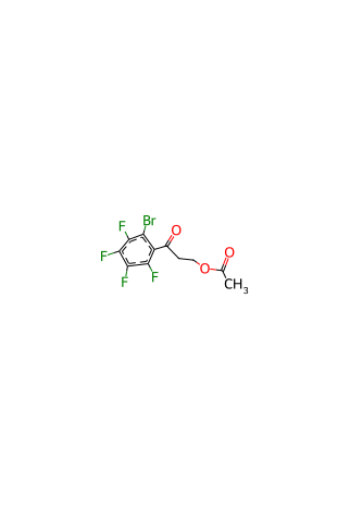 CC(=O)OCCC(=O)c1c(F)c(F)c(F)c(F)c1Br